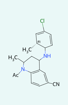 CC(=O)N1c2ccc(C#N)cc2C(NC2C=CC(Cl)=C[C@H]2C)CC1C